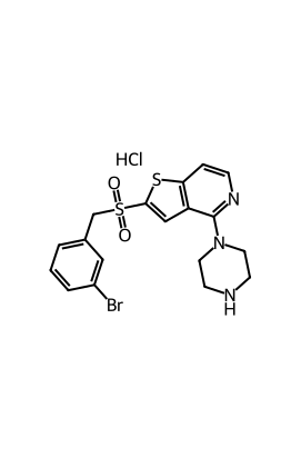 Cl.O=S(=O)(Cc1cccc(Br)c1)c1cc2c(N3CCNCC3)nccc2s1